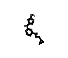 Cn1cc(Nc2nccc(NCCC3CC3)n2)cn1